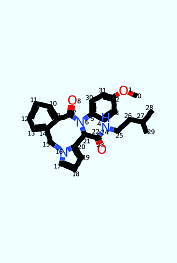 COc1ccc(N2C(=O)c3ccccc3Cn3cccc3C2C(=O)NCCC(C)C)cc1